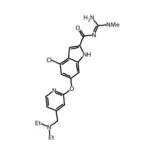 CCN(CC)Cc1ccnc(Oc2cc(Cl)c3cc(C(=O)N=C(N)NC)[nH]c3c2)c1